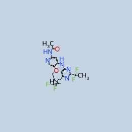 CC(=O)Nc1cc(Nc2cc(C)nc(C(C)(F)F)n2)c(OCC2CC2(F)F)cn1